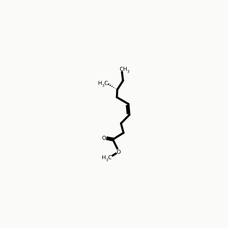 CC[C@@H](C)C/C=C\CCC(=O)OC